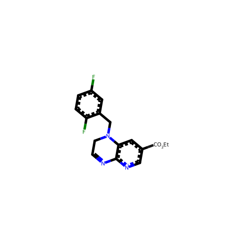 CCOC(=O)c1cnc2c(c1)N(Cc1cc(F)ccc1F)CC=N2